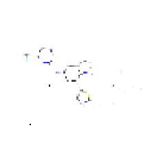 C[C@H](c1ncc(-c2cc(Nc3nccc(C(F)(F)F)n3)cc3cn[nH]c23)s1)C1CC[C@H](OO)C(C)(C)C1